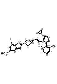 O=C(O)c1cc(F)c2nc(N3CC4C(/C=C/c5c(-c6c(Cl)cccc6Cl)noc5C5CC5)C4C3)sc2c1